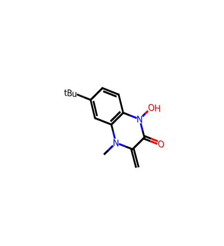 C=C1C(=O)N(O)c2ccc(C(C)(C)C)cc2N1C